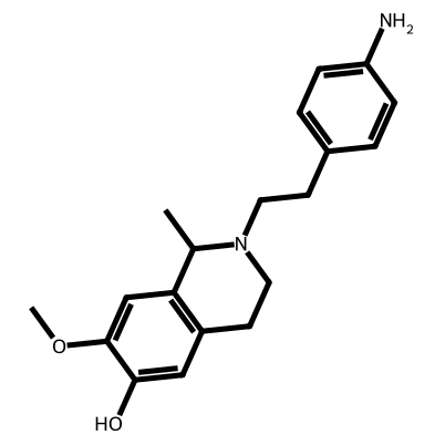 COc1cc2c(cc1O)CCN(CCc1ccc(N)cc1)C2C